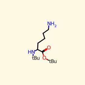 CC(C)(C)NC(CCCCN)C(=O)OC(C)(C)C